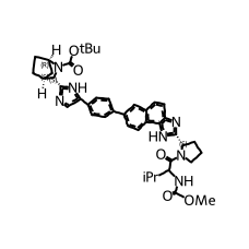 COC(=O)NC(C(=O)N1CCC[C@H]1c1nc2ccc3cc(-c4ccc(-c5cnc([C@@H]6[C@H]7CC[C@H](C7)N6C(=O)OC(C)(C)C)[nH]5)cc4)ccc3c2[nH]1)C(C)C